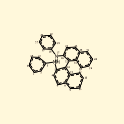 c1ccc(Nc2ccc3ccccc3c2-c2c(Nc3ccccc3)ccc3ccccc23)cc1